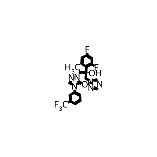 C[C@@H](n1ncn(-c2cccc(C(F)(F)F)c2)c1=O)[C@](O)(Cn1cncn1)c1ccc(F)cc1F